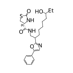 CCC(O)CCCCCC(CNC(=O)[C@@H]1CSC(=O)N1)c1ncc(-c2ccccc2)o1